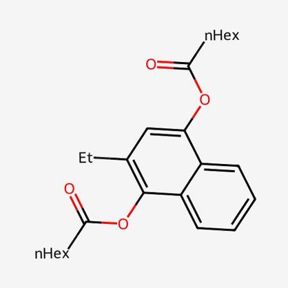 CCCCCCC(=O)Oc1cc(CC)c(OC(=O)CCCCCC)c2ccccc12